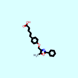 Cc1oc(-c2ccccc2)nc1COc1ccc(C=CC=CC(=O)O)cc1